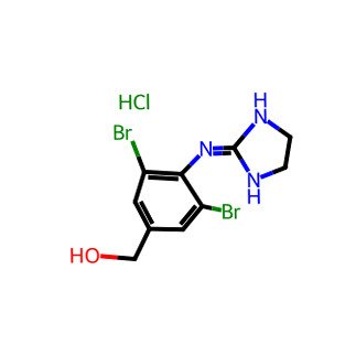 Cl.OCc1cc(Br)c(N=C2NCCN2)c(Br)c1